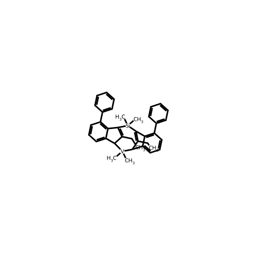 CCC1=C2c3c(-c4ccccc4)cccc3[CH]1[V]([CH3])([CH3])[CH]1C(CC)=C(c3c(-c4ccccc4)cccc31)[Si]2(C)C